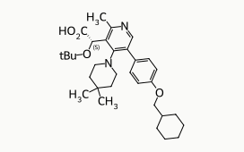 Cc1ncc(-c2ccc(OCC3CCCCC3)cc2)c(N2CCC(C)(C)CC2)c1[C@H](OC(C)(C)C)C(=O)O